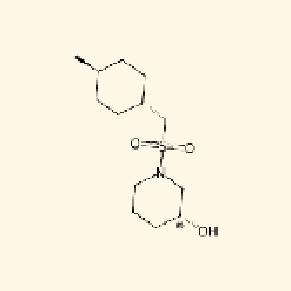 C[C@H]1CC[C@H](CS(=O)(=O)N2CCC[C@@H](O)C2)CC1